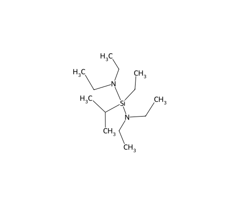 CCN(CC)[Si](CC)(C(C)C)N(CC)CC